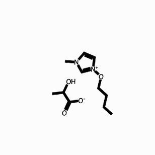 CC(O)C(=O)[O-].CCCCO[n+]1ccn(C)c1